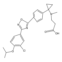 CC(C)Oc1ccc(-c2noc(-c3ccc(C4(N(C)CCC(=O)O)CC4)cc3)n2)cc1Cl